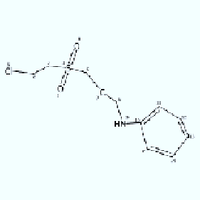 O=S(=O)(CCCl)CCCNc1ccccc1